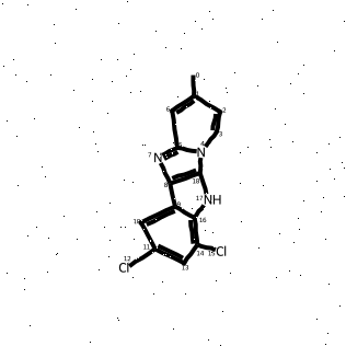 Cc1ccn2c(c1)nc1c3cc(Cl)cc(Cl)c3[nH]c12